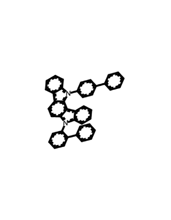 c1ccc(-c2ccc(-n3c4ccccc4c4ccc5c(c6ccccc6n5-c5ccccc5-c5ccccc5)c43)cc2)cc1